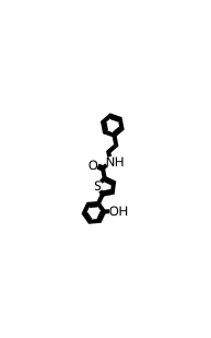 O=C(NCCc1ccccc1)c1ccc(-c2ccccc2O)s1